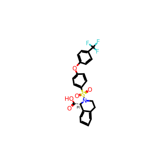 O=C(O)[C@H]1c2ccccc2CCN1S(=O)(=O)c1ccc(Oc2ccc(C(F)(F)F)cc2)cc1